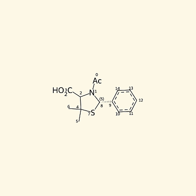 CC(=O)N1C(C(=O)O)C(C)(C)S[C@H]1c1ccccc1